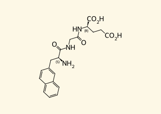 N[C@@H](Cc1ccc2ccccc2c1)C(=O)NCC(=O)N[C@H](CCC(=O)O)C(=O)O